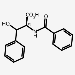 O=C(N[C@H](C(=O)O)C(O)c1ccccc1)c1ccccc1